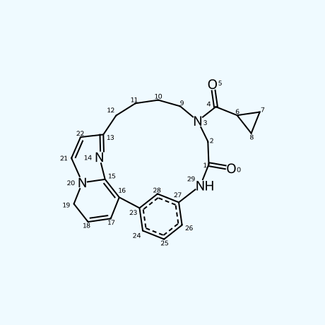 O=C1CN(C(=O)C2CC2)CCCCC2=NC3=C(C=CCN3C=C2)c2cccc(c2)N1